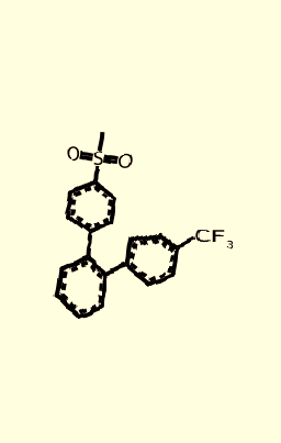 CS(=O)(=O)c1ccc(-c2ccccc2-c2ccc(C(F)(F)F)cc2)cc1